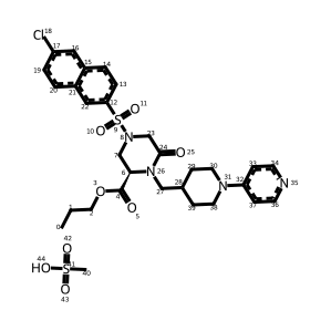 CCCOC(=O)[C@H]1CN(S(=O)(=O)c2ccc3cc(Cl)ccc3c2)CC(=O)N1CC1CCN(c2ccncc2)CC1.CS(=O)(=O)O